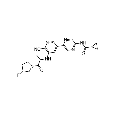 CC(Nc1cc(-c2cnc(NC(=O)C3CC3)cn2)cnc1C#N)C(=O)N1CCC(F)C1